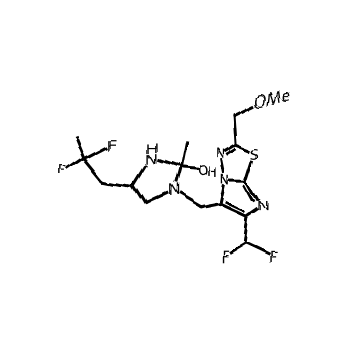 COCc1nn2c(CN3CC(CC(C)(F)F)NC3(C)O)c(C(F)F)nc2s1